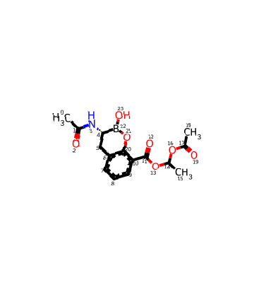 CC(=O)N[C@H]1Cc2cccc(C(=O)OC(C)OC(C)=O)c2OB1O